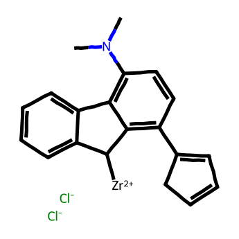 CN(C)c1ccc(C2=CC=CC2)c2c1-c1ccccc1[CH]2[Zr+2].[Cl-].[Cl-]